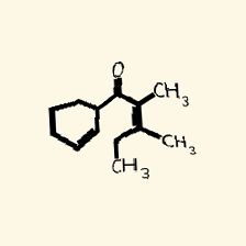 CCC(C)=C(C)C(=O)C1C=CCCC1